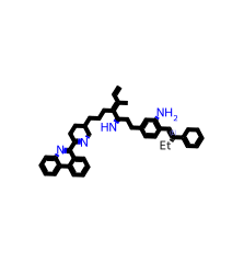 C=CC(C)=C(CCCC1CCC(c2nc3ccccc3c3ccccc23)=NC1)C(=N)CCc1ccc(/C=C(\CC)C2=CC=CCC2)c(N)c1